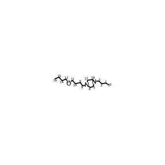 [CH2]CCCN1CCN(CCCCOCCCC)CC1